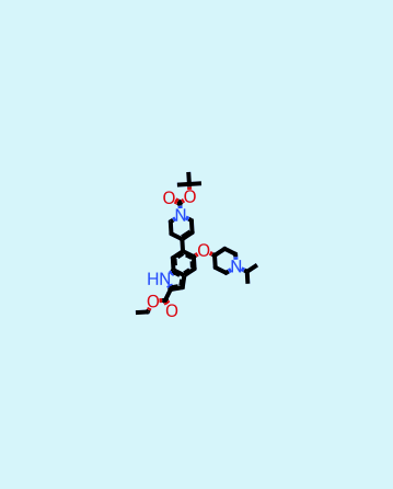 CCOC(=O)c1cc2cc(OC3CCN(C(C)C)CC3)c(C3=CCN(C(=O)OC(C)(C)C)CC3)cc2[nH]1